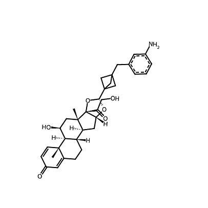 C[C@]12C=CC(=O)C=C1CC[C@@H]1[C@@H]2[C@@H](O)C[C@@]2(C)[C@H]1C[C@H]1O[C@@H](C34CC(Cc5cccc(N)c5)(C3)C4)O[C@]12C(=O)CO